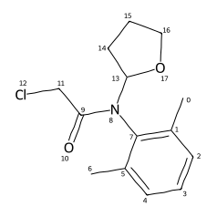 Cc1cccc(C)c1N(C(=O)CCl)C1CCCO1